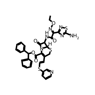 CCON=C(C(=O)NC1C(=O)N2C(C(=O)OC(c3ccccc3)c3ccccc3)=C(C=CSc3cccnc3)CS[C@@H]12)c1nsc(N)n1